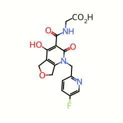 O=C(O)CNC(=O)c1c(O)c2c(n(Cc3ccc(F)cn3)c1=O)COC2